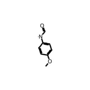 COc1ccc([N]C=O)cc1